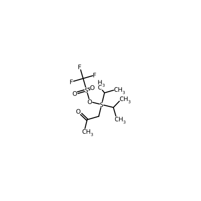 CC(=O)CS(OS(=O)(=O)C(F)(F)F)(C(C)C)C(C)C